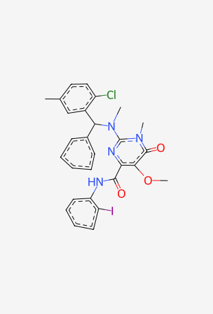 COc1c(C(=O)Nc2ccccc2I)nc(N(C)C(c2ccccc2)c2cc(C)ccc2Cl)n(C)c1=O